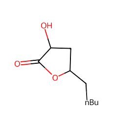 CCCCCC1CC(O)C(=O)O1